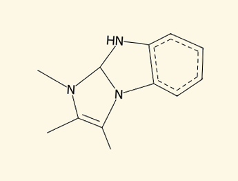 CC1=C(C)N2c3ccccc3NC2N1C